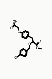 COC(=O)C(Cc1ccc(OCC(=O)O)cc1)OCc1ccc(Cl)cc1